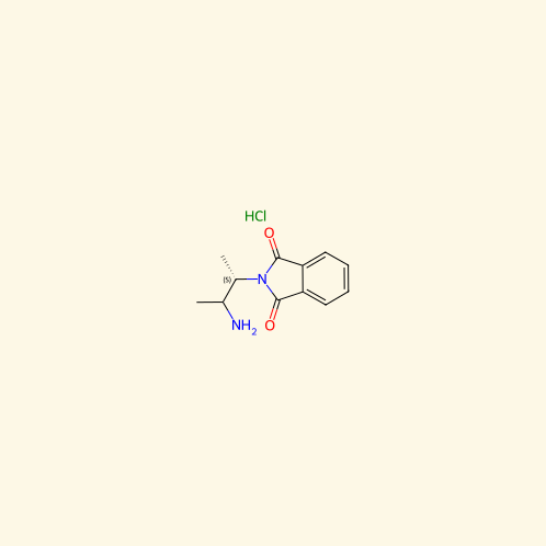 CC(N)[C@H](C)N1C(=O)c2ccccc2C1=O.Cl